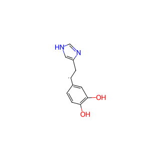 Oc1ccc([CH]Cc2c[nH]cn2)cc1O